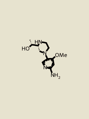 COc1cc(N)ncc1N1CCN[C@@H]([C@@H](C)O)C1